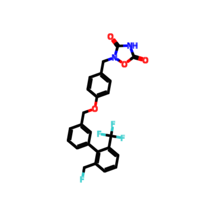 O=c1[nH]c(=O)n(Cc2ccc(OCc3cccc(-c4c(CF)cccc4C(F)(F)F)c3)cc2)o1